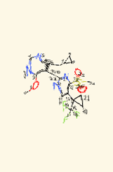 COc1ncnc(C2CC2)c1-c1ncc(C2(C(F)(F)F)CC2)c(S(C)(=O)=O)n1